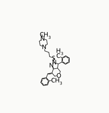 Cc1ccccc1C=C1COCC2C1=NN(SCCCN1CCN(C)CC1)C2c1ccccc1C